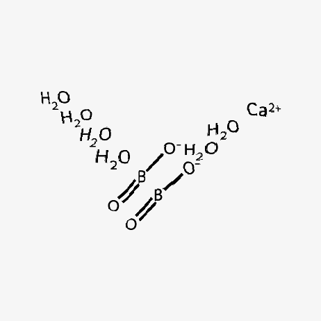 O.O.O.O.O.O.O=B[O-].O=B[O-].[Ca+2]